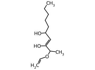 C=COC(C)C(O)=CC(O)CCCCC